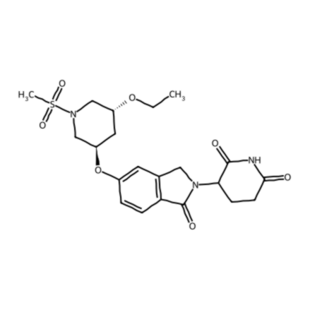 CCO[C@@H]1C[C@@H](Oc2ccc3c(c2)CN(C2CCC(=O)NC2=O)C3=O)CN(S(C)(=O)=O)C1